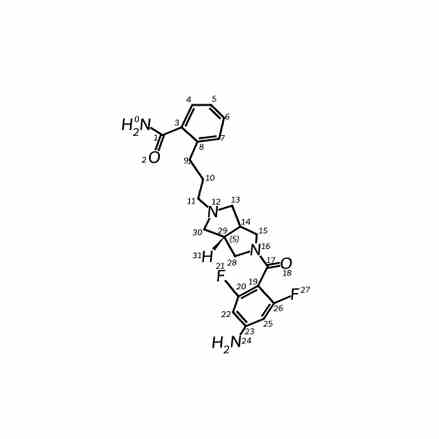 NC(=O)c1ccccc1[CH]CCN1CC2CN(C(=O)c3c(F)cc(N)cc3F)C[C@@H]2C1